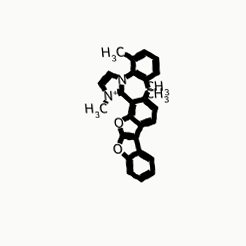 Cc1cccc(C)c1-n1cc[n+](C)c1-c1c(C)ccc2c1oc1oc3ccccc3c12